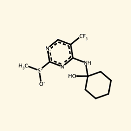 C[S+]([O-])c1ncc(C(F)(F)F)c(NC2(O)CCCCC2)n1